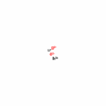 [In+3].[Li+].[O-2].[O-2]